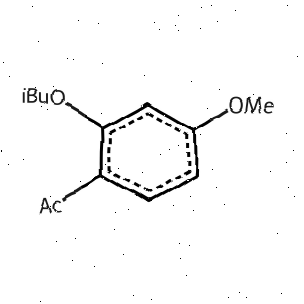 COc1ccc(C(C)=O)c(OCC(C)C)c1